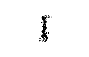 CC(C)(C)OC(=O)N1CCCC1c1ncc(-c2ccc3cc(-c4ccc5nc([C@@H]6CCCN6C(=O)OC(C)(C)C)[nH]c5c4)ccc3c2)[nH]1